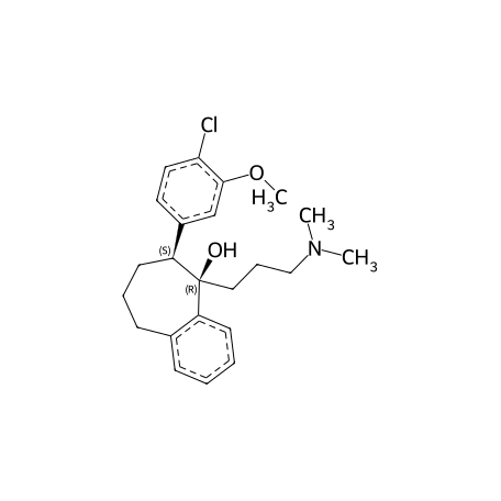 COc1cc([C@@H]2CCCc3ccccc3[C@@]2(O)CCCN(C)C)ccc1Cl